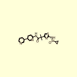 CC(C)(C(=O)Nc1ccc(-c2cccnc2)cn1)c1csc(N[S+]([O-])C2CC2)n1